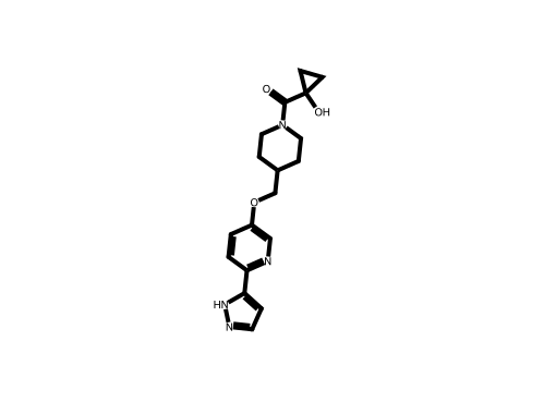 O=C(N1CCC(COc2ccc(-c3ccn[nH]3)nc2)CC1)C1(O)CC1